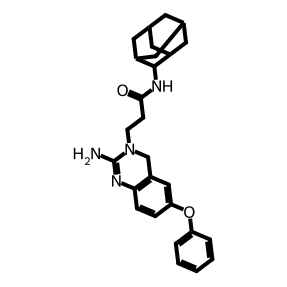 NC1=Nc2ccc(Oc3ccccc3)cc2CN1CCC(=O)NC1C2CC3CC(C2)CC1C3